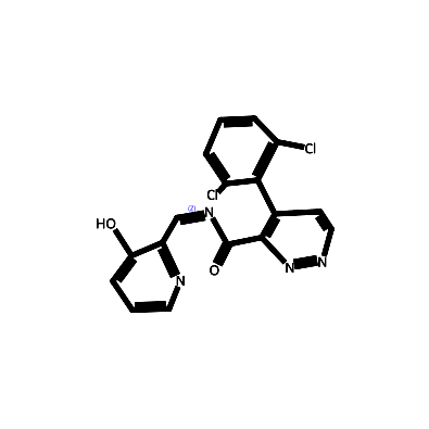 O=C(/N=C\c1ncccc1O)c1nnccc1-c1c(Cl)cccc1Cl